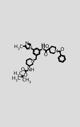 Cc1cn(-c2cc(CN3CCC[C@H](NC(=O)OC(C)(C)C)C3)cc(NC(=O)C3(O)CCN(C(=O)c4ccccc4)CC3)c2)cn1